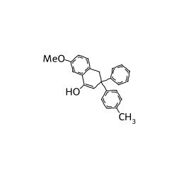 COc1ccc2c(c1)C(O)=CC(c1ccccc1)(c1ccc(C)cc1)C2